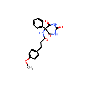 COc1ccc(CCC(=O)NC2(c3ccccc3)C(=O)NC(=O)NC2=O)cc1